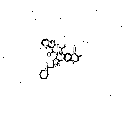 CC1CSc2cc(-c3nn(CC(=O)N4CCCCC4)cc3NC(=O)c3cnn4cccnc34)c(OC(F)F)cc2N1